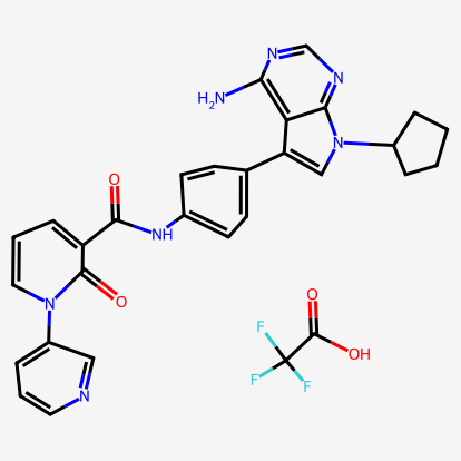 Nc1ncnc2c1c(-c1ccc(NC(=O)c3cccn(-c4cccnc4)c3=O)cc1)cn2C1CCCC1.O=C(O)C(F)(F)F